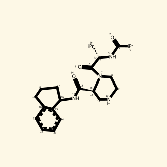 C[C](C)C(=O)N[C@H](C(=O)N1CCNC[C@H]1C(=O)NC1CCCc2ccccc21)C(C)C